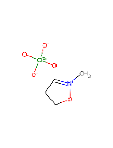 C[N+]1=CCCO1.[O-][Cl+3]([O-])([O-])[O-]